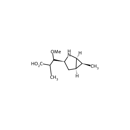 COC(C(C)C(=O)O)[C@@H]1C[C@@H]2[C@H](C)[C@@H]2N1